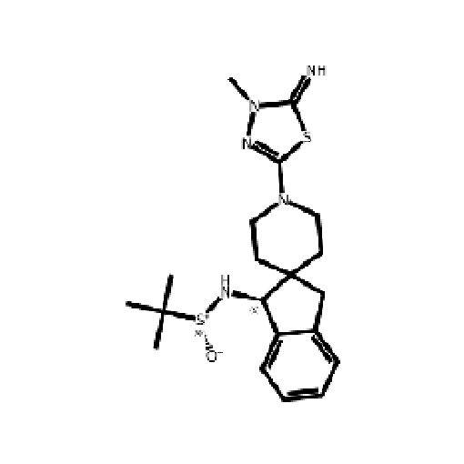 Cn1nc(N2CCC3(CC2)Cc2ccccc2[C@H]3N[S@+]([O-])C(C)(C)C)sc1=N